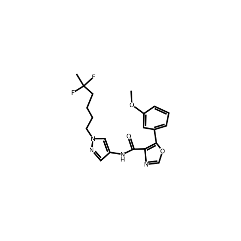 COc1cccc(-c2ocnc2C(=O)Nc2cnn(CCCCC(C)(F)F)c2)c1